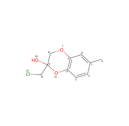 Cc1ccc2c(c1)OCC(O)(CCl)O2